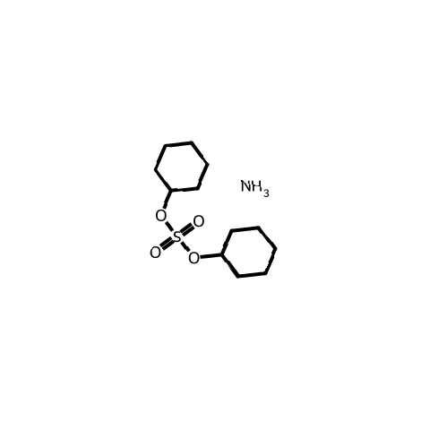 N.O=S(=O)(OC1CCCCC1)OC1CCCCC1